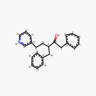 O=C(Cc1ccccc1)C(CCc1cccnc1)Cc1ccccc1